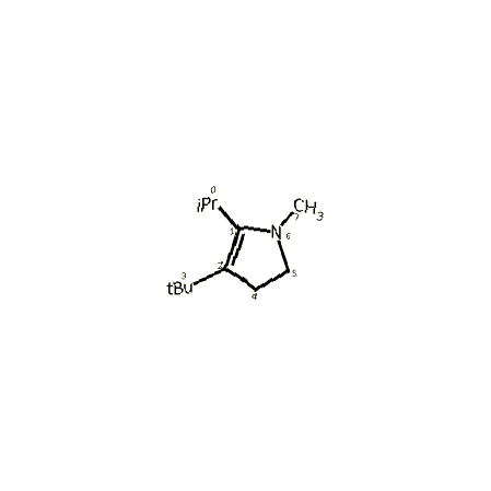 CC(C)C1=C(C(C)(C)C)CCN1C